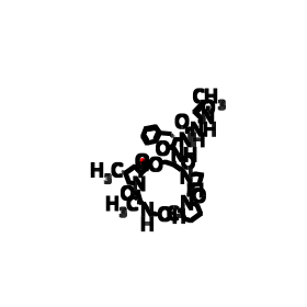 Cc1cc(NC(=O)N[C@@H](Cc2ccccc2)C(=O)N[C@H]2COC(=O)[C@@H]3C[C@@H](C)CN3C(=O)[C@H](C)NCOC[C@@H]3CCCCN3C(=O)[C@@H]3CCCN3C2=O)no1